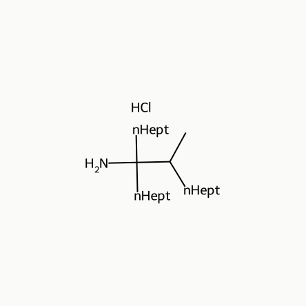 CCCCCCCC(C)C(N)(CCCCCCC)CCCCCCC.Cl